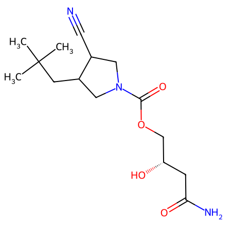 CC(C)(C)CC1CN(C(=O)OC[C@@H](O)CC(N)=O)CC1C#N